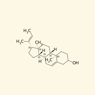 CC=C(C)[C@H]1CC[C@H]2[C@@H]3CC=C4CC(O)CC[C@]4(C)[C@H]3CC[C@]12C